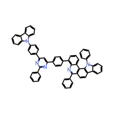 c1ccc(-c2nc(-c3ccc(-c4cccc5c4nc(-c4ccccc4)c4ccc6c7ccccc7n(-c7ccccc7)c6c45)cc3)cc(-c3ccc(-n4c5ccccc5c5ccccc54)cc3)n2)cc1